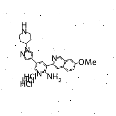 COc1ccc2cc(-c3cc(-c4cnn(C5CCNCC5)c4)cnc3N)ncc2c1.Cl.Cl.Cl